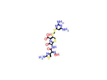 Nc1cc(SCSC2=C(C(=O)O)N3C(=O)C(NC(=O)C(=NO)c4csc(N)n4)C3SC2)nc(N)n1